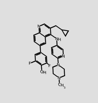 CN1CCN(c2ccc(Nc3c(CC4CC4)cnc4ccc(-c5cc(F)c(O)c(F)c5)cc34)cn2)CC1